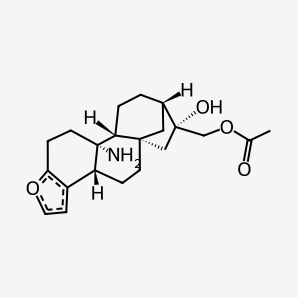 CC(=O)OC[C@@]1(O)C[C@]23CC[C@@H]4c5ccoc5CC[C@@]4(N)[C@@H]2CC[C@H]1C3